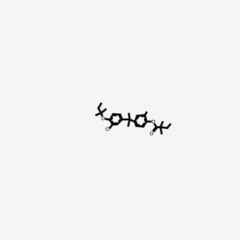 CCC(C)(C)Oc1ccc(C(C)(C)c2ccc(OC(=O)C(C)(C)CC)c(C)c2)cc1Cl